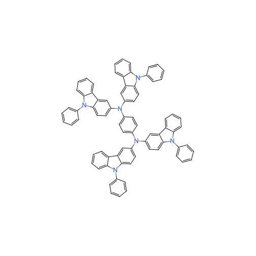 c1ccc(-n2c3ccccc3c3cc(N(c4ccc(N(c5ccc6c(c5)c5ccccc5n6-c5ccccc5)c5ccc6c(c5)c5ccccc5n6-c5ccccc5)cc4)c4ccc5c(c4)c4ccccc4n5-c4ccccc4)ccc32)cc1